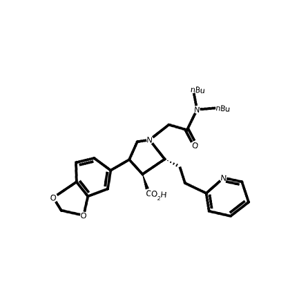 CCCCN(CCCC)C(=O)CN1CC(c2ccc3c(c2)OCO3)[C@H](C(=O)O)[C@H]1CCc1ccccn1